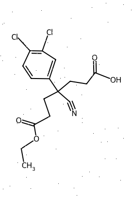 CCOC(=O)CCC(C#N)(CCC(=O)O)c1ccc(Cl)c(Cl)c1